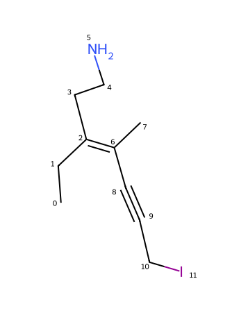 CCC(CCN)=C(C)C#CCI